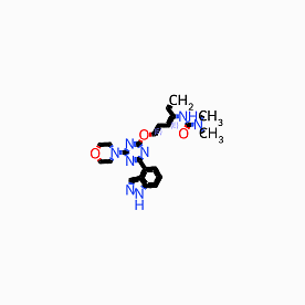 C=C/C(=C\C=C\Oc1nc(-c2cccc3[nH]ncc23)nc(N2CCOCC2)n1)NC(=O)N(C)C